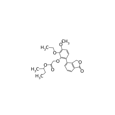 CCOc1c(OC)ccc(-c2cccc3c2COC3=O)c1OCC(=O)OC(C)CC